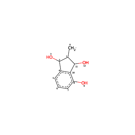 [CH2]C1C(O)c2cccc(O)c2C1O